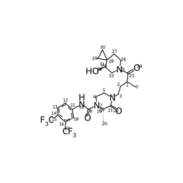 CC(CCN1CCN(C(=O)Nc2ccc(C(F)(F)F)c(C(F)(F)F)c2)[C@@H](C)C1=O)C(=O)N1CCC2(CC2)[C@H](O)C1